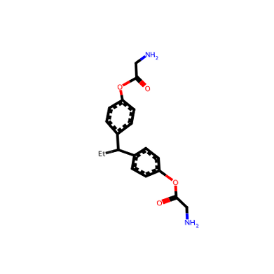 CCC(c1ccc(OC(=O)CN)cc1)c1ccc(OC(=O)CN)cc1